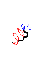 COC(=O)Cc1ccc(N)o1